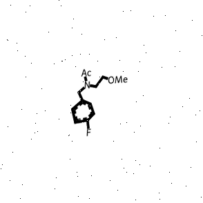 COCCN(Cc1ccc(F)cc1)C(C)=O